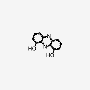 Oc1cccc2nc3cccc(O)c3nc12